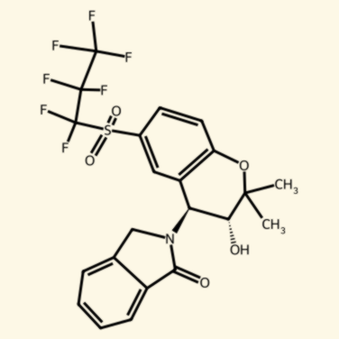 CC1(C)Oc2ccc(S(=O)(=O)C(F)(F)C(F)(F)C(F)(F)F)cc2[C@H](N2Cc3ccccc3C2=O)[C@H]1O